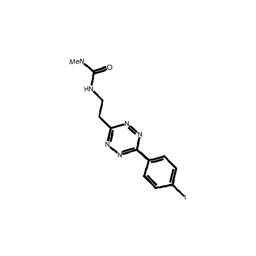 CNC(=O)NCCc1nnc(-c2ccc(I)cc2)nn1